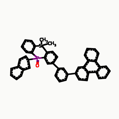 C[Si]1(C)c2ccccc2P(=O)(c2ccc3ccccc3c2)c2cc(-c3cccc(-c4ccc5c6ccccc6c6ccccc6c5c4)c3)ccc21